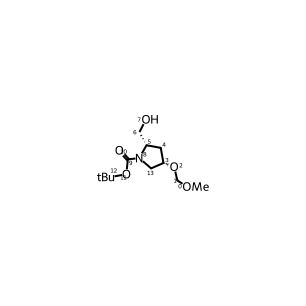 COCO[C@H]1C[C@@H](CO)N(C(=O)OC(C)(C)C)C1